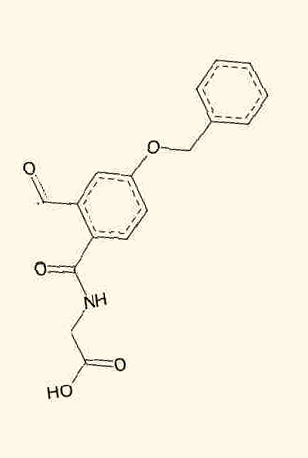 O=[C]c1cc(OCc2ccccc2)ccc1C(=O)NCC(=O)O